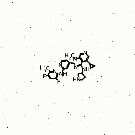 C=Nc1cncc(C2CC2)c1/C(=N\Cc1ccnc(Nc2nc(C)c(F)cc2F)c1)NC1CCNC1